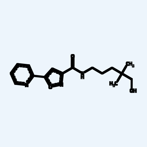 CC(C)(CO)CCCNC(=O)c1cc(-c2ccccn2)on1